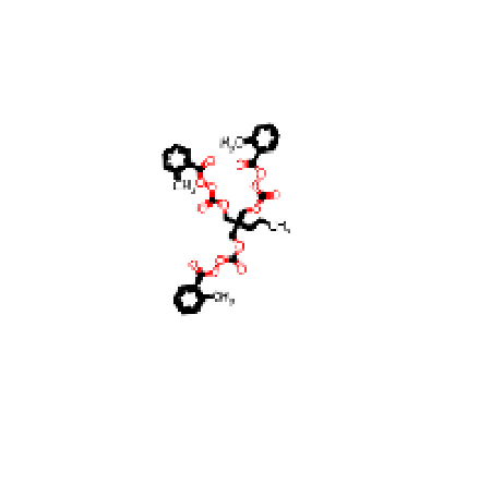 CCCC(COC(=O)OOC(=O)c1ccccc1C)(COC(=O)OOC(=O)c1ccccc1C)COC(=O)OOC(=O)c1ccccc1C